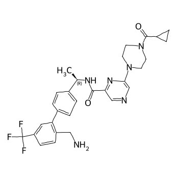 C[C@@H](NC(=O)c1cncc(N2CCN(C(=O)C3CC3)CC2)n1)c1ccc(-c2cc(C(F)(F)F)ccc2CN)cc1